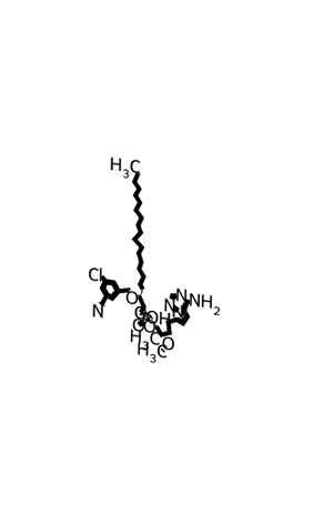 CCCCCCCCCCCCCCCCCC[C@H](COP(=O)(O)OC[C@](C)(CCc1ccc2c(N)ncnn12)OC)OCc1cc(Cl)cc(C#N)c1